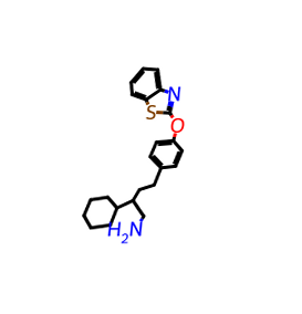 NCC(CCc1ccc(Oc2nc3ccccc3s2)cc1)C1CCCCC1